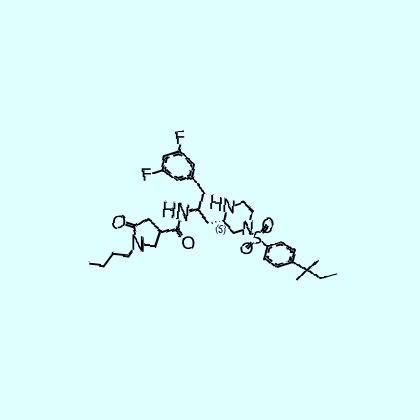 CCCCN1CC(C(=O)NC(Cc2cc(F)cc(F)c2)C[C@H]2CN(S(=O)(=O)c3ccc(C(C)(C)CC)cc3)CCN2)CC1=O